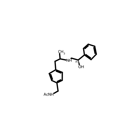 CC(=O)NCc1ccc(CC(C)NC[C@H](O)c2ccccc2)cc1